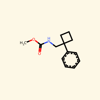 COC(=O)NCC1(c2ccccc2)CCC1